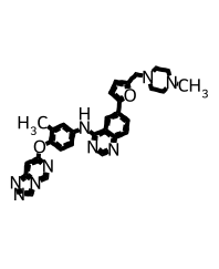 Cc1cc(Nc2ncnc3ccc(-c4ccc(CN5CCN(C)CC5)o4)cc23)ccc1Oc1cc2nncn2cn1